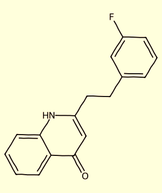 O=c1cc(CCc2cccc(F)c2)[nH]c2ccccc12